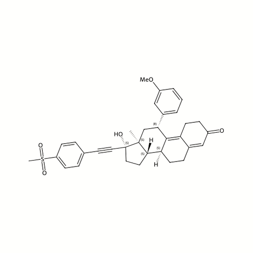 COc1cccc([C@H]2C[C@@]3(C)[C@@H](CC[C@@]3(O)C#Cc3ccc(S(C)(=O)=O)cc3)[C@@H]3CCC4=CC(=O)CCC4=C32)c1